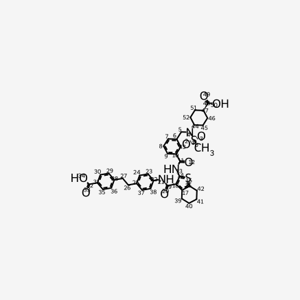 CS(=O)(=O)N(Cc1cccc(C(=O)Nc2sc3c(c2C(=O)Nc2ccc(CCc4ccc(C(=O)O)cc4)cc2)CCCC3)c1)[C@H]1CC[C@H](C(=O)O)CC1